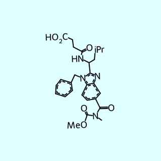 COC(=O)N(C)C(=O)c1ccc2c(c1)nc(C(CC(C)C)NC(=O)CCC(=O)O)n2Cc1ccccc1